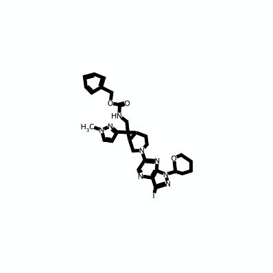 Cn1ccc(C2(CNC(=O)OCc3ccccc3)C3CCN(c4cnc5c(I)nn(C6CCCCO6)c5n4)CC32)n1